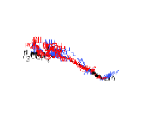 CCCC[C@H](NC(=O)[C@H](CNC(=O)CN(CC(=O)O)CC(=O)O)NC(=O)CCNC(=O)[C@H](Cc1c[nH]cn1)NC(=O)[C@H](CCC(N)=O)NC(=O)[C@H](CO)NC(=O)[C@H](CO)NC(=O)[C@H](CCC(N)=O)NC(=O)[C@@H](CO)NC(=O)CNC(=O)COCCOCCNC(=O)COCCOCCNC(=O)CCCCCCCCCCCCCCCC(C)NN=N)C(C)=O